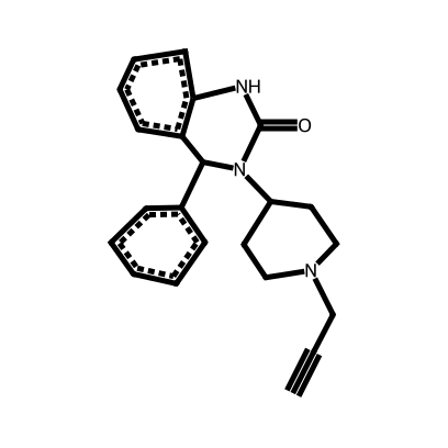 C#CCN1CCC(N2C(=O)Nc3ccccc3C2c2ccccc2)CC1